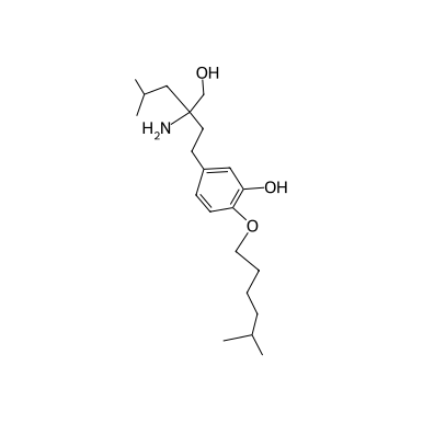 CC(C)CCCCOc1ccc(CCC(N)(CO)CC(C)C)cc1O